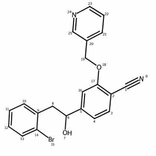 N#Cc1ccc(C(O)Cc2ccccc2Br)cc1OCc1cccnc1